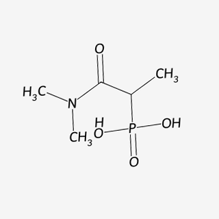 CC(C(=O)N(C)C)P(=O)(O)O